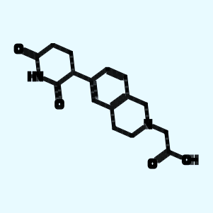 O=C(O)CN1CCc2cc(C3CCC(=O)NC3=O)ccc2C1